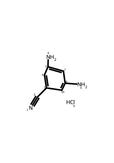 Cl.N#Cc1cc(N)cc(N)c1